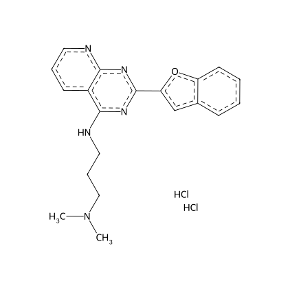 CN(C)CCCNc1nc(-c2cc3ccccc3o2)nc2ncccc12.Cl.Cl